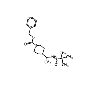 C[C@@H](N[S+]([O-])C(C)(C)C)C1CCN(C(=O)OCc2ccccc2)CC1